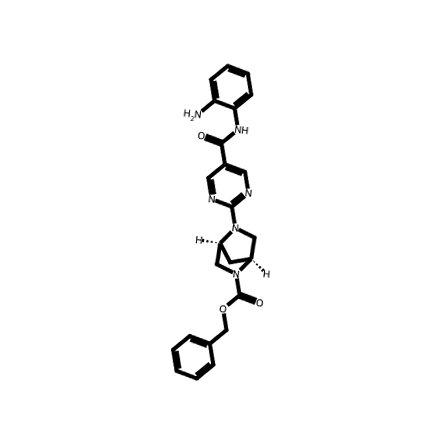 Nc1ccccc1NC(=O)c1cnc(N2C[C@@H]3C[C@H]2CN3C(=O)OCc2ccccc2)nc1